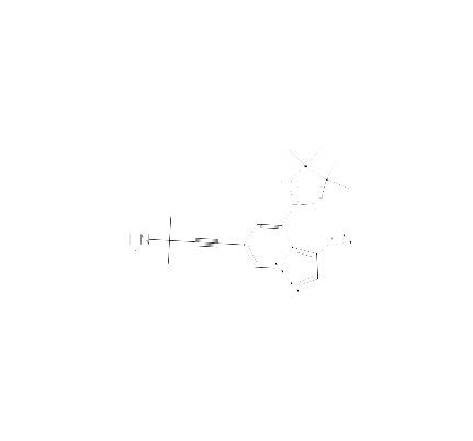 CC(C)(N)C#Cc1cc(B2OC(C)(C)C(C)(C)O2)c2c(C#N)cnn2c1